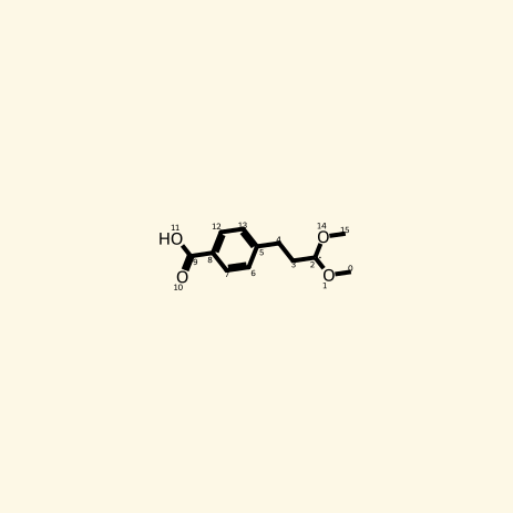 CO[C](CCc1ccc(C(=O)O)cc1)OC